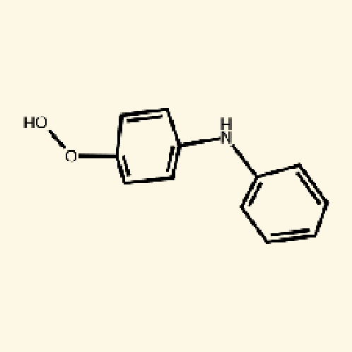 OOc1ccc(Nc2ccccc2)cc1